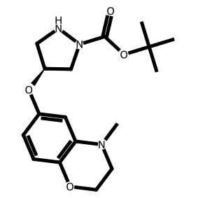 CN1CCOc2ccc(O[C@H]3CNN(C(=O)OC(C)(C)C)C3)cc21